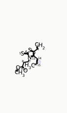 C=Cc1sc(=S)n(CCC(=O)OC)c1/C=C\C